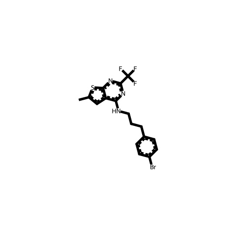 Cc1cc2c(NCCCc3ccc(Br)cc3)nc(C(F)(F)F)nc2s1